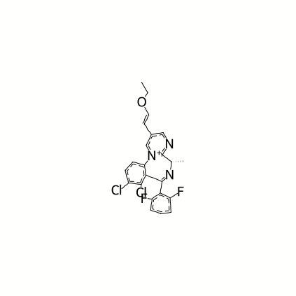 CCO/C=C/c1cnc2[n+](c1)-c1ccc(Cl)c(Cl)c1C(c1c(F)cccc1F)=N[C@H]2C